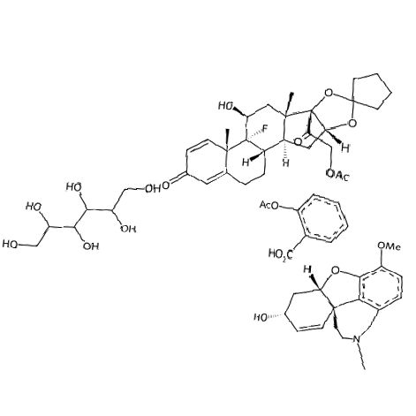 CC(=O)OCC(=O)[C@@]12OC3(CCCC3)O[C@@H]1C[C@H]1[C@@H]3CCC4=CC(=O)C=C[C@]4(C)[C@@]3(F)[C@@H](O)C[C@@]12C.CC(=O)Oc1ccccc1C(=O)O.COc1ccc2c3c1O[C@H]1C[C@@H](O)C=C[C@@]31CCN(C)C2.OCC(O)C(O)C(O)C(O)CO